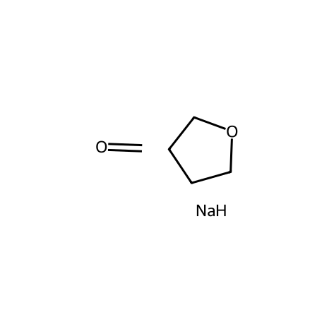 C1CCOC1.C=O.[NaH]